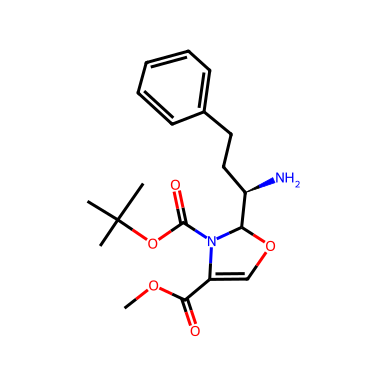 COC(=O)C1=COC([C@H](N)CCc2ccccc2)N1C(=O)OC(C)(C)C